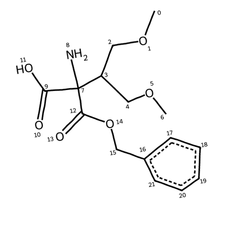 COCC(COC)C(N)(C(=O)O)C(=O)OCc1ccccc1